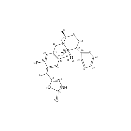 CC(c1n[nH]c(=O)o1)c1cc(F)c(CN2[C@@H](C)CC[C@H](c3ccccc3)S2(=O)=O)cc1F